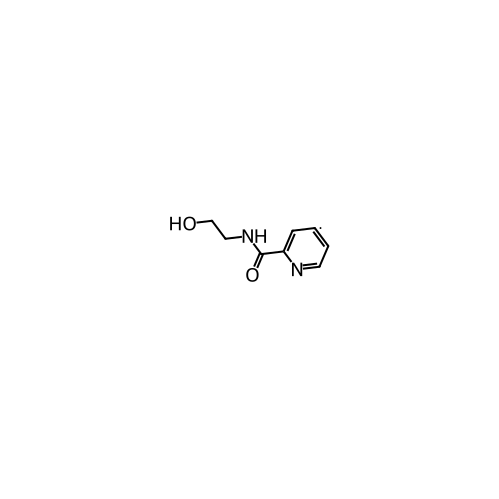 O=C(NCCO)c1c[c]ccn1